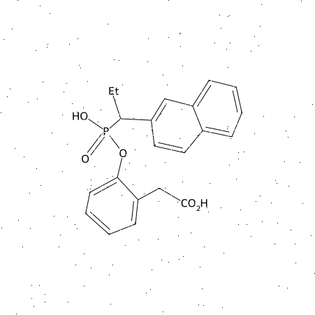 CCC(c1ccc2ccccc2c1)P(=O)(O)Oc1ccccc1CC(=O)O